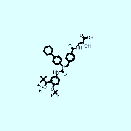 C[SiH](C)OC(c1cc(NC(=O)N(Cc2ccc(C(=O)NC[C@@H](O)C(=O)O)cc2)c2ccc(C3CCCCC3)cc2)ccc1OC(F)(F)F)C(C)(C)C